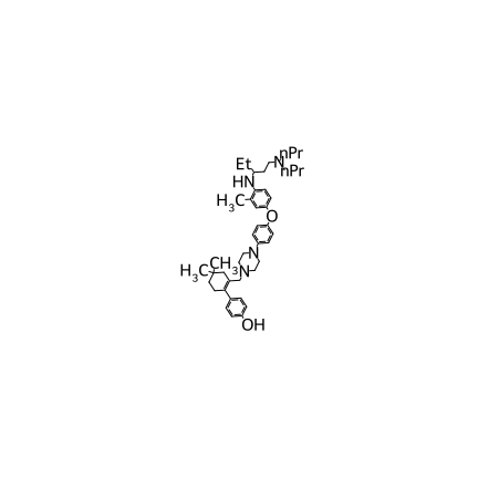 CCCN(CCC)CCC(CC)Nc1ccc(Oc2ccc(N3CCN(CC4=C(c5ccc(O)cc5)CCC(C)(C)C4)CC3)cc2)cc1C